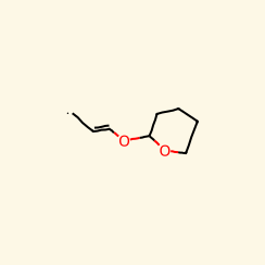 [CH2]C=COC1CCCCO1